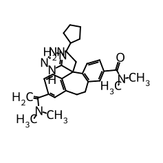 C=C(c1ccc2c(c1)CCc1cc(C(=O)N(C)C)ccc1C2(C[C@@H](N)C1CCCC1)c1nnn[nH]1)N(C)C